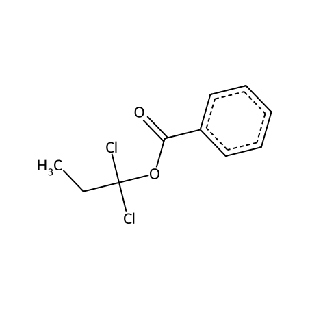 CCC(Cl)(Cl)OC(=O)c1ccccc1